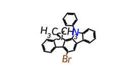 C[Si]1(C)c2ccccc2-c2c(Br)cc3c4ccccc4n(-c4ccccc4)c3c21